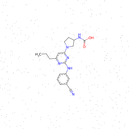 CCCc1cc(N2CCC(NC(=O)O)C2)nc(Nc2cccc(C#N)c2)n1